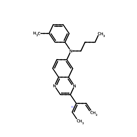 C=C/C(=C\C)c1cnc2ccc(N(CCCC)c3cccc(C)c3)cc2n1